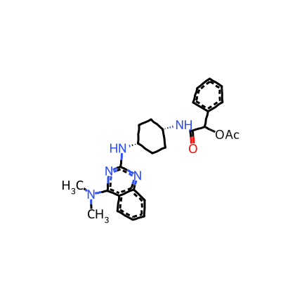 CC(=O)OC(C(=O)N[C@H]1CC[C@@H](Nc2nc(N(C)C)c3ccccc3n2)CC1)c1ccccc1